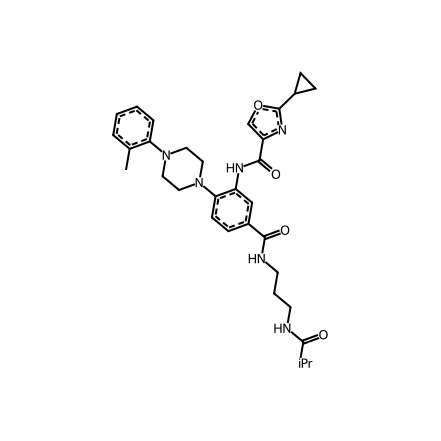 Cc1ccccc1N1CCN(c2ccc(C(=O)NCCCNC(=O)C(C)C)cc2NC(=O)c2coc(C3CC3)n2)CC1